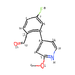 COc1cc(-c2cc(F)ccc2C=O)ccn1